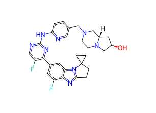 O[C@@H]1C[C@H]2CN(Cc3ccc(Nc4ncc(F)c(-c5cc(F)c6nc7n(c6c5)C5(CC7)CC5)n4)nc3)CCN2C1